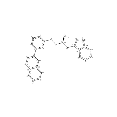 N[C@H](CCc1cncc(-c2ccc3cnccc3c2)c1)Cc1c[nH]c2ccccc12